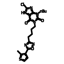 CCCCn1c(=O)n(CCCCc2noc(-c3ccsc3C)n2)c(=O)c2[nH]c(Cl)nc21